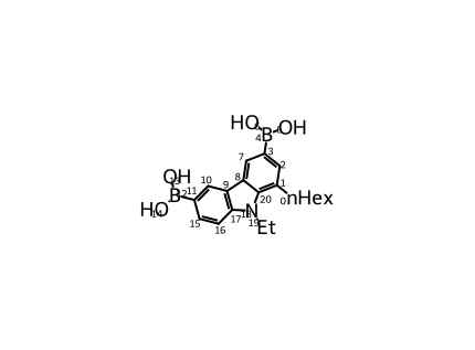 CCCCCCc1cc(B(O)O)cc2c3cc(B(O)O)ccc3n(CC)c12